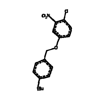 CC(C)(C)c1ccc(COc2ccc(Cl)c([N+](=O)[O-])c2)cc1